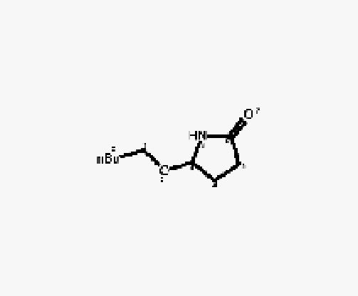 CCCCCOC1CCC(=O)N1